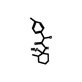 Cc1ccc(C(Cl)C(=O)NC2(C(=O)O)CCCCC2C)cc1